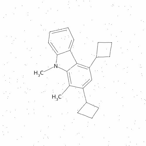 Cc1c(C2CCC2)cc(C2CCC2)c2c3ccccc3n(C)c12